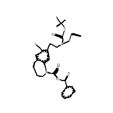 C=CCN(CCc1cc2c(cc1I)CCCN2C(=O)OC(=O)c1ccccc1)C(=O)OC(C)(C)C